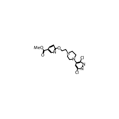 COC(=O)c1ccc(OCCN2CCN(c3cc(Cl)nnc3Cl)CC2)nc1